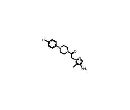 Cc1c(N)cnn1CC(=O)N1CCN(c2ccc(Cl)cc2)CC1